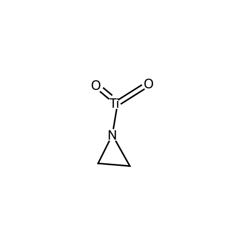 [O]=[Ti](=[O])[N]1CC1